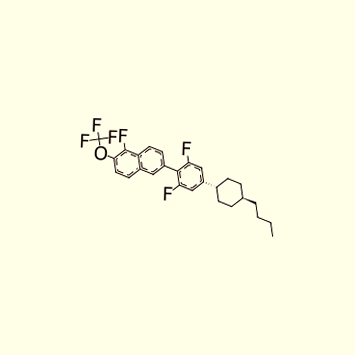 CCCC[C@H]1CC[C@H](c2cc(F)c(-c3ccc4c(F)c(OC(F)(F)F)ccc4c3)c(F)c2)CC1